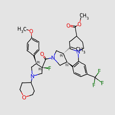 CC[C@H]1CN(C(=O)[C@]2(F)CN(C3CCOCC3)C[C@H]2c2ccc(OC)cc2)C[C@@H]1c1ccc(C(F)(F)F)cc1N1CCC(C(=O)OC)CC1